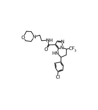 O=C(NCCN1CCOCC1)c1cnn2c1NC(c1ccc(Cl)cc1)CC2C(F)(F)F